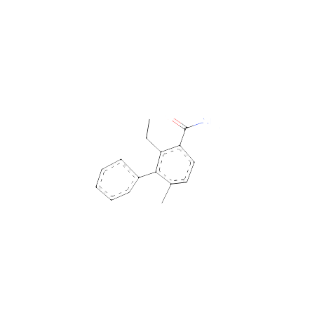 CCc1c(C(N)=O)ccc(C)c1-c1ccccc1